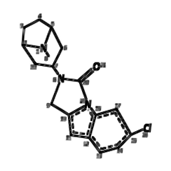 CN1C2CCC1CC(N1Cc3cc4ccc(Cl)cc4n3C1=O)C2